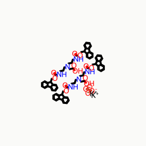 O=C(O)CN(CCCNC(=O)OCC1c2ccccc2-c2ccccc21)CCCNC(=O)OCC1c2ccccc2-c2ccccc21.O=C(O)CN(CCCNC(=O)OCC1c2ccccc2-c2ccccc21)CCCNC(=O)OCC1c2ccccc2-c2ccccc21.O=S(=O)([O-])[O-].[K+].[K+]